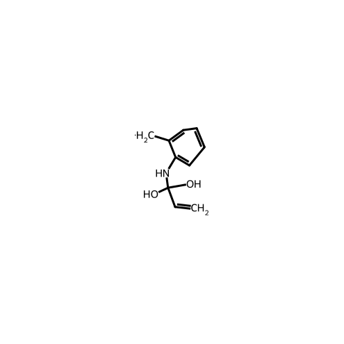 [CH2]c1ccccc1NC(O)(O)C=C